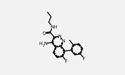 CCCNC(=O)c1nnc2c(-c3cc(F)ccc3C)c(F)ccc2c1N